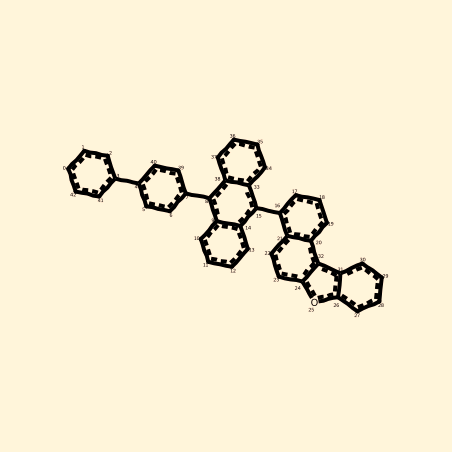 c1ccc(-c2ccc(-c3c4ccccc4c(-c4cccc5c4ccc4oc6ccccc6c45)c4ccccc34)cc2)cc1